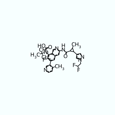 Cc1ccncc1-c1cc2cc(NC(=O)C3C(C)C3c3cnn(CC(F)F)c3)ncc2c(N(C(=O)O)C(C)(C)C)c1F